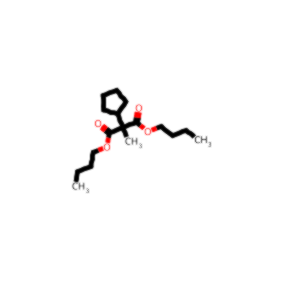 CCCCOC(=O)C(C)(C(=O)OCCCC)C1CCCC1